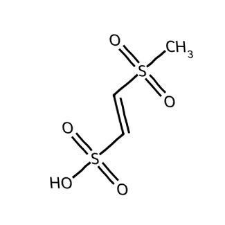 CS(=O)(=O)C=CS(=O)(=O)O